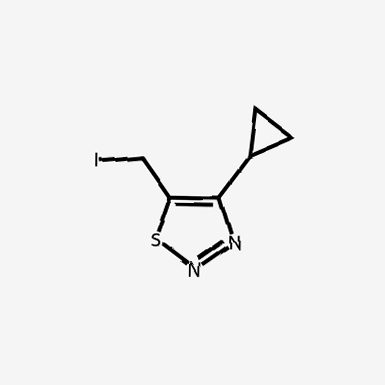 ICc1snnc1C1CC1